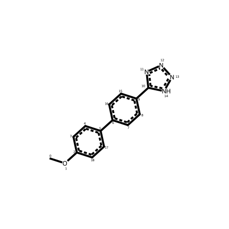 COc1ccc(-c2ccc(-c3nnn[nH]3)cc2)cc1